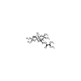 C=C(C)C(=O)OCCC[Si](O)(O[Si](C)(C)C)[Si](C)(C)O[Si](C)(C)C